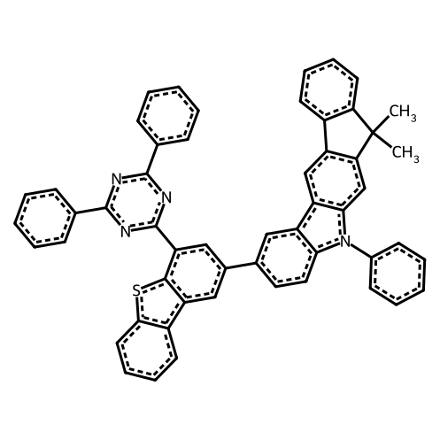 CC1(C)c2ccccc2-c2cc3c4cc(-c5cc(-c6nc(-c7ccccc7)nc(-c7ccccc7)n6)c6sc7ccccc7c6c5)ccc4n(-c4ccccc4)c3cc21